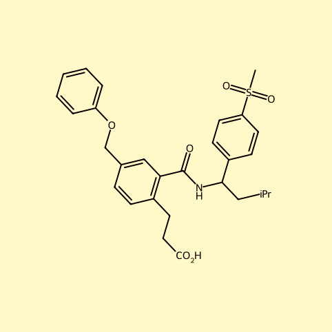 CC(C)CC(NC(=O)c1cc(COc2ccccc2)ccc1CCC(=O)O)c1ccc(S(C)(=O)=O)cc1